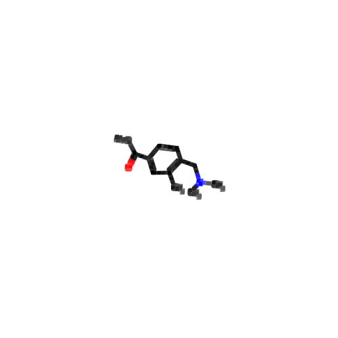 COC(=O)c1ccc(CN(C)C)c(C)c1